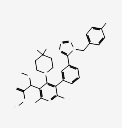 Cc1nc(C)c(C(OC(C)(C)C)C(=O)OC(C)C)c(N2CCC(C)(C)CC2)c1-c1cccc(-c2nnnn2Cc2ccc(F)cc2)c1